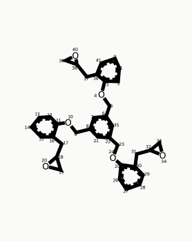 c1ccc(OCc2cc(COc3ccccc3CC3CO3)cc(COc3ccccc3CC3CO3)c2)c(CC2CO2)c1